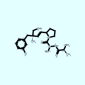 CC(=O)OC[C@@](C)(/C=C/C1CCCN1C(=O)N(NC(=O)[C@H](C)N)C(C)(C)C)Cc1cccc(Cl)c1